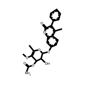 COC1=C(C)OC(Oc2ccc3c(C)c(-c4ccccc4)c(=O)oc3c2)C(O)C1OC(N)=O